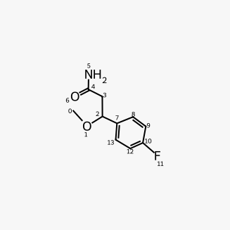 COC(CC(N)=O)c1ccc(F)cc1